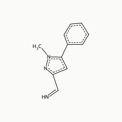 Cn1nc(C=N)cc1-c1ccccc1